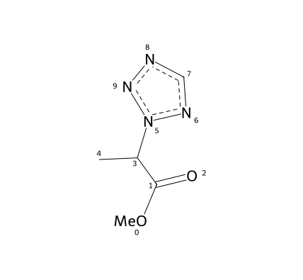 COC(=O)C(C)n1ncnn1